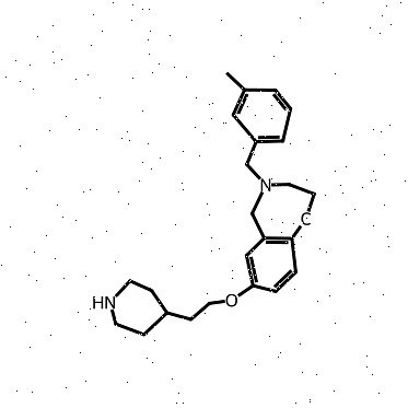 Cc1cccc(CN2CCCc3ccc(OCCC4CCNCC4)cc3C2)c1